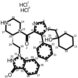 Cl.Cl.O=C(c1ncn(CC2(O)CCCCC2)c1-c1ccccc1)N1CCNC[C@H]1CCn1[nH]c(=O)c2ccccc21